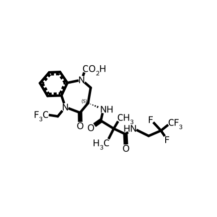 CC(C)(C(=O)NCC(F)(F)C(F)(F)F)C(=O)N[C@H]1CN(C(=O)O)c2ccccc2N(CC(F)(F)F)C1=O